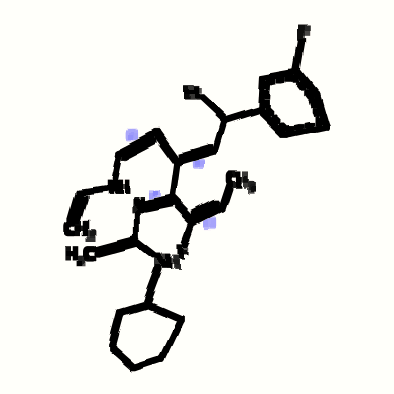 C=CN\C=C/C(=C\C(CC)c1cccc(F)c1)C(=N/C(=C)NC1CCCCC1)/C(F)=C\C